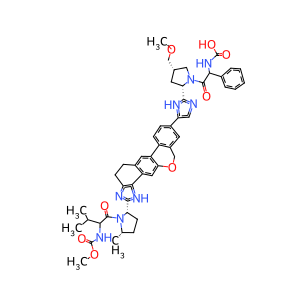 COC[C@H]1C[C@@H](c2ncc(-c3ccc4c(c3)COc3cc5c(cc3-4)CCc3nc([C@@H]4CC[C@H](C)N4C(=O)C(NC(=O)OC)C(C)C)[nH]c3-5)[nH]2)N(C(=O)C(NC(=O)O)c2ccccc2)C1